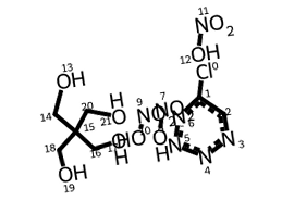 Clc1cnnnn1.O=[N+]([O-])O.O=[N+]([O-])O.O=[N+]([O-])O.OCC(CO)(CO)CO